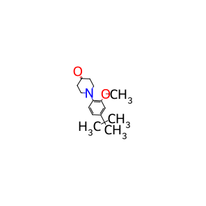 COc1cc(C(C)(C)C)ccc1N1CCC(=O)CC1